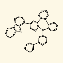 c1ccc(-c2cccc(N3c4ccccc4-c4ccccc4-c4cc(-c5cccc6c5sc5ccccc56)ccc43)c2)cc1